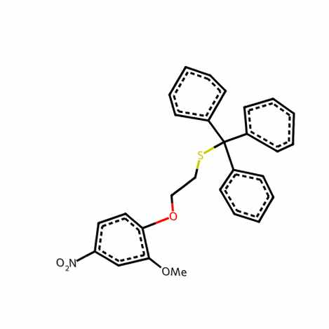 COc1cc([N+](=O)[O-])ccc1OCCSC(c1ccccc1)(c1ccccc1)c1ccccc1